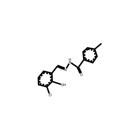 Cc1ccc(C(=O)N/N=C/c2cccc(Cl)c2O)cc1